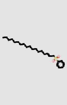 CCCCCCCCCCCCCCCC=CCS(=O)(=O)c1ccccc1